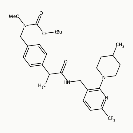 CON(Cc1ccc(C(C)C(=O)NCc2ccc(C(F)(F)F)nc2N2CCC(C)CC2)cc1)C(=O)OC(C)(C)C